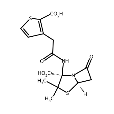 CC1(C)S[C@@H]2CC(=O)N2[C@@]1(NC(=O)Cc1ccsc1C(=O)O)C(=O)O